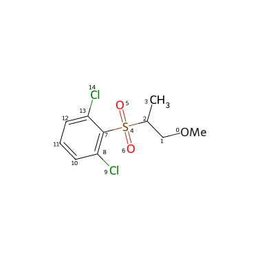 COCC(C)S(=O)(=O)c1c(Cl)cccc1Cl